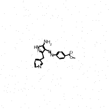 COC(=O)c1ccc(N=Nc2c(Cc3cccnc3)n[nH]c2N)cc1